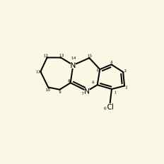 Clc1cccc2c1N=C1CCCCCN1C2